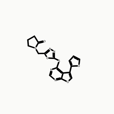 O=C1CCCN1Cc1nnc(Sc2ncnc3occ(-c4ccco4)c23)o1